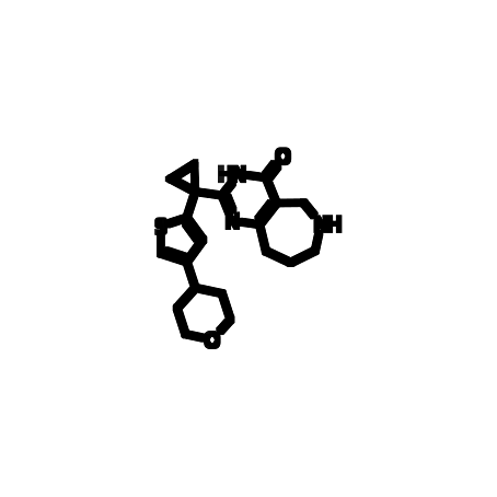 O=c1[nH]c(C2(c3cc(C4CCOCC4)cs3)CC2)nc2c1CNCCC2